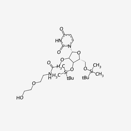 CC(C)(C)[Si](C)(C)OC[C@H]1O[C@@H](n2ccc(=O)[nH]c2=O)C(OCC(=O)NCCOCCO)C1O[Si](C)(C)C(C)(C)C